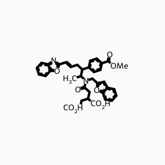 COC(=O)c1ccc(C(C/C=C/c2nc3ccccc3o2)C(C)N(Cc2cc3ccccc3o2)C(=O)CC(CC(=O)O)C(=O)O)cc1